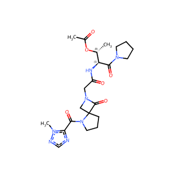 CC(=O)O[C@H](C)[C@H](NC(=O)CN1CC2(CCCN2C(=O)c2ncnn2C)C1=O)C(=O)N1CCCC1